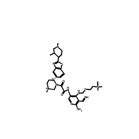 CC1CN(C)CCC1c1nc2cc([C@H]3CC[C@H](C)CN3C(=O)C(=O)Nc3cnc(N)c(C=N)c3NCOCC[Si](C)(C)C)ccc2s1